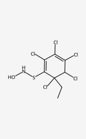 CCC1(Cl)C(SNO)=C(Cl)C(Cl)=C(Cl)C1Cl